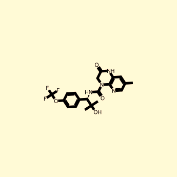 Cc1cnc2c(c1)NC(=O)CN2C(=O)N[C@@H](c1ccc(OC(F)(F)F)cc1)C(C)(C)O